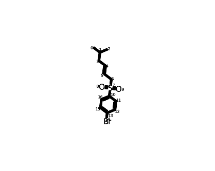 CC(C)CC=CCS(=O)(=O)c1ccc(Br)cc1